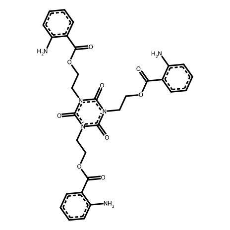 Nc1ccccc1C(=O)OCCn1c(=O)n(CCOC(=O)c2ccccc2N)c(=O)n(CCOC(=O)c2ccccc2N)c1=O